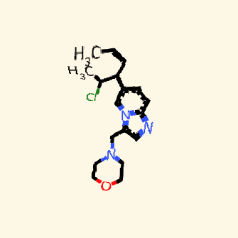 C/C=C\C(c1ccc2ncc(CN3CCOCC3)n2c1)C(C)Cl